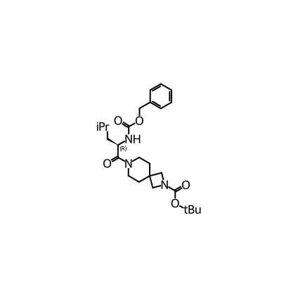 CC(C)C[C@@H](NC(=O)OCc1ccccc1)C(=O)N1CCC2(CC1)CN(C(=O)OC(C)(C)C)C2